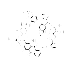 COc1cc([C@@H]2c3cc4c(cc3C(O[C@@H]3O[C@@H]5COC(c6cccs6)O[C@H]5[C@H](O)[C@H]3O)C3COC(=O)[C@@H]32)OCO4)cc(OC)c1O.COc1cccc2c1C(=O)c1c(O)c3c(c(O)c1C2=O)C[C@@](O)(C(=O)CO)C[C@@H]3O[C@H]1C[C@H](N)[C@H](O)[C@H](C)O1